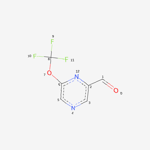 O=Cc1cncc(OC(F)(F)F)n1